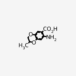 CC1COc2cc(C(=O)O)c(N)cc2O1